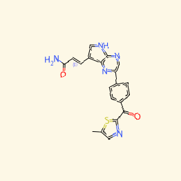 Cc1cnc(C(=O)c2ccc(-c3cnc4[nH]cc(/C=C/C(N)=O)c4n3)cc2)s1